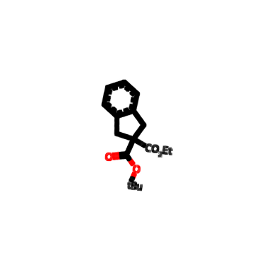 CCOC(=O)C1(C(=O)OC(C)(C)C)Cc2ccccc2C1